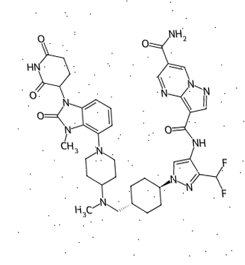 CN(C[C@H]1CC[C@H](n2cc(NC(=O)c3cnn4cc(C(N)=O)cnc34)c(C(F)F)n2)CC1)C1CCN(c2cccc3c2n(C)c(=O)n3C2CCC(=O)NC2=O)CC1